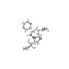 C[C@@H]1[C@H](c2ccccc2)C[C@H](N)c2ncc(C(C)(C)O)n21